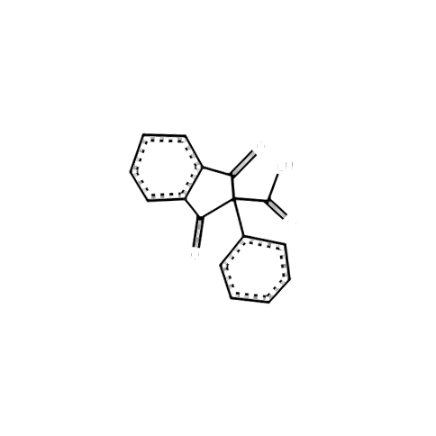 CC(=O)C1(c2ccccc2)C(=O)c2ccccc2C1=O